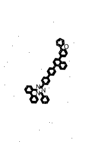 c1ccc(-c2nc(-c3ccc(-c4ccc(-c5ccc(-c6ccc7oc8ccccc8c7c6)c6ccccc56)cc4)cc3)nc(-c3ccccc3-c3ccccc3)n2)cc1